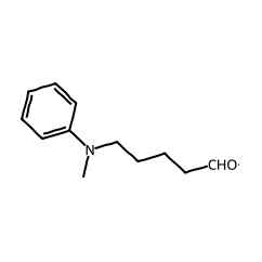 CN(CCCC[C]=O)c1ccccc1